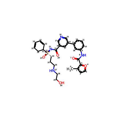 Cc1ccoc1C(=O)Nc1cccc(-c2cncc(C(=O)N=[S@](=O)(CCCNCCO)C3C=CC=CC3)c2)c1